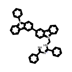 N=C(/N=C(\NCn1c2ccccc2c2cc(-c3ccc4c(c3)c3ccccc3n4-c3ccccc3)ccc21)c1ccccc1)c1ccccc1